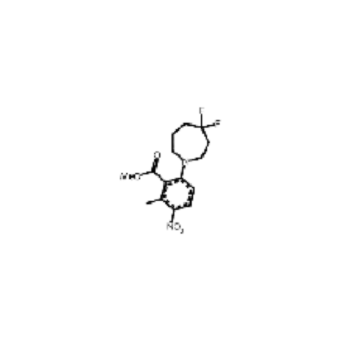 COC(=O)c1c(N2CCCC(F)(F)CC2)ccc([N+](=O)[O-])c1C